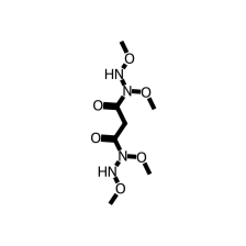 CONN(OC)C(=O)CC(=O)N(NOC)OC